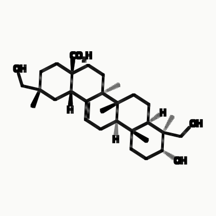 C[C@@]1(CO)CC[C@]2(C(=O)O)CC[C@]3(C)C(=CC[C@@H]4[C@@]5(C)CC[C@@H](O)[C@](C)(CO)[C@@H]5CC[C@]43C)[C@@H]2C1